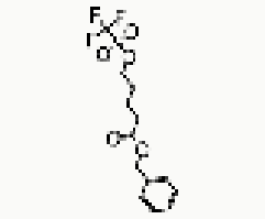 O=C(CCCCOS(=O)(=O)C(F)(F)F)OCc1ccccc1